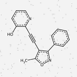 Cc1onc(-c2ccccc2)c1C#Cc1ncccc1O